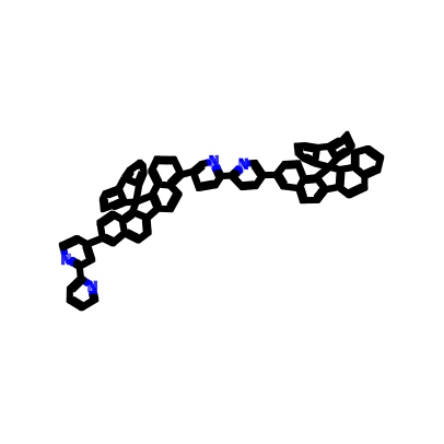 c1ccc(-c2cc(-c3ccc4c5c(ccc4c3)-c3ccc4c(-c6ccc(-c7ccc(-c8ccc9c%10c(ccc9c8)-c8ccc9ccccc9c8C%108c9ccccc9-c9ccccc98)cn7)nc6)cccc4c3C53c4ccccc4-c4ccccc43)ccn2)nc1